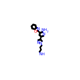 N=CCCCn1cc(-c2cnc(N)c(-c3nc4ccccc4o3)c2)cn1